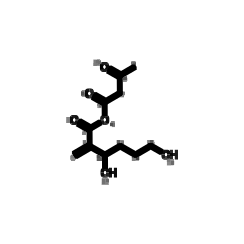 C=C(C(=O)OC(=O)CC(C)=O)C(O)CCCO